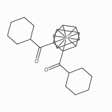 O=C(C1CCCCC1)[C]12[CH]3[CH]4[CH]5[C]1(C(=O)C1CCCCC1)[Fe]43521678[CH]2[CH]1[CH]6[CH]7[CH]28